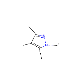 CCn1nc(C)c(C)c1C